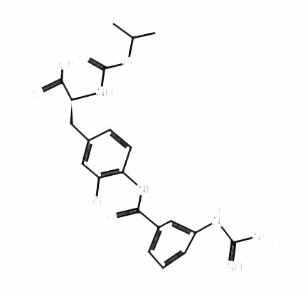 CC(C)OC(=O)N[C@@H](Cc1ccc(NC(=O)c2cccc(NC(=N)N)c2)c(Cl)c1)C(=O)O